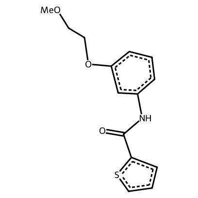 COCCOc1cccc(NC(=O)c2cccs2)c1